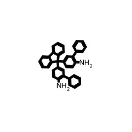 Nc1ccc(C2(c3ccc(N)c(-c4ccccc4)c3)c3ccccc3-c3ccccc32)cc1-c1ccccc1